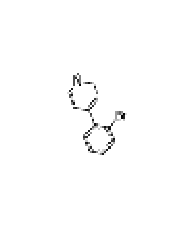 Brc1ccccc1C1=CC[N]C=C1